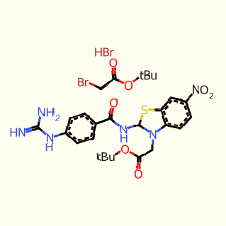 Br.CC(C)(C)OC(=O)CBr.CC(C)(C)OC(=O)CN1c2ccc([N+](=O)[O-])cc2SC1NC(=O)c1ccc(NC(=N)N)cc1